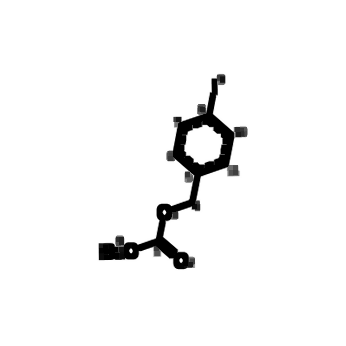 CC(C)COC(=O)OCc1ccc(I)cc1